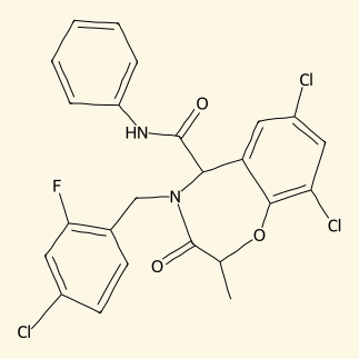 CC1Oc2c(Cl)cc(Cl)cc2C(C(=O)Nc2ccccc2)N(Cc2ccc(Cl)cc2F)C1=O